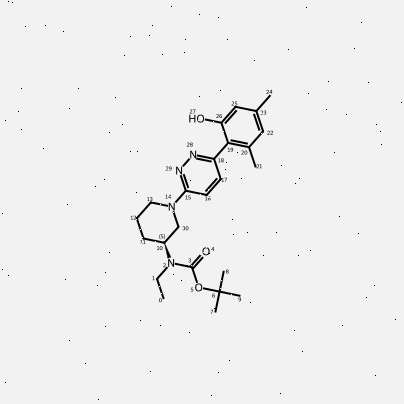 CCN(C(=O)OC(C)(C)C)[C@H]1CCCN(c2ccc(-c3c(C)cc(C)cc3O)nn2)C1